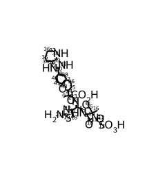 CC(ON=C(C(=O)NC1C(=O)N(OS(=O)(=O)O)C1(C)C)c1csc(N)n1)(C(=O)O)C1CCc2cc(C(=N)NC3CCCCNC3)ccc2O1